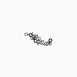 Cc1cc(Cl)cc(Cl)c1Nc1nc2ccc3c(C)c(CCCN4CCP(=O)(c5ccccc5)CC4)[nH]c(=O)c3c2n1C